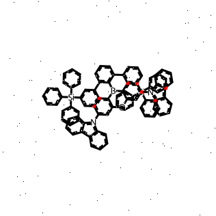 c1ccc([Si](c2ccccc2)(c2ccccc2)c2cccc(-c3cccc(-c4cccc([Si](c5ccccc5)(c5ccccc5)c5ccccc5)c4)c3B3c4ccc(-n5c6ccccc6c6ccccc65)cc4Oc4cc(-n5c6ccccc6c6ccccc65)ccc43)c2)cc1